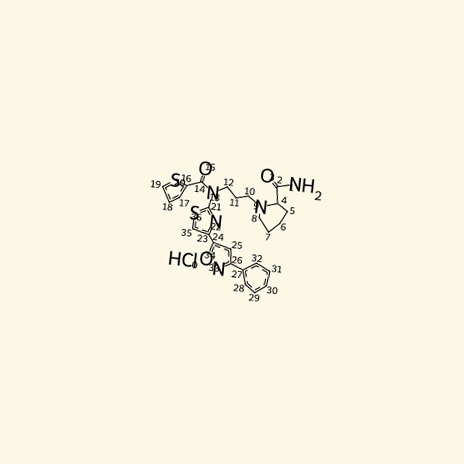 Cl.NC(=O)C1CCCCN1CCCN(C(=O)c1cccs1)c1nc(-c2cc(-c3ccccc3)no2)cs1